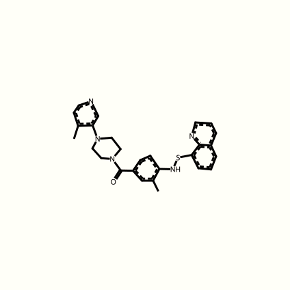 Cc1cc(C(=O)N2CCN(c3cnccc3C)CC2)ccc1NSc1cccc2cccnc12